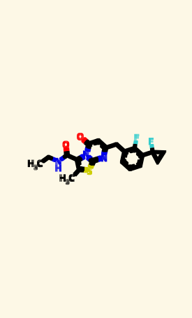 CCNC(=O)c1c(C)sc2nc(Cc3cccc(C4(F)CC4)c3F)cc(=O)n12